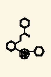 O=C(C=Cc1ccccc1[C]12[CH]3[CH]4[C]5(c6ccccc6)[CH]1[Fe]43521678[CH]2[CH]1[CH]6[CH]7[CH]28)c1ccccc1